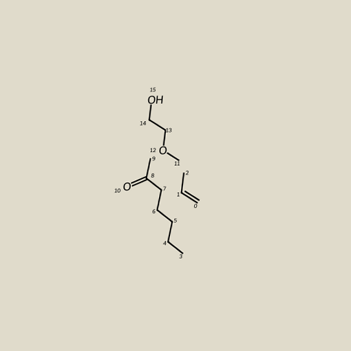 C=CC.CCCCCC(C)=O.COCCO